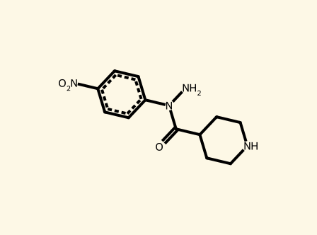 NN(C(=O)C1CCNCC1)c1ccc([N+](=O)[O-])cc1